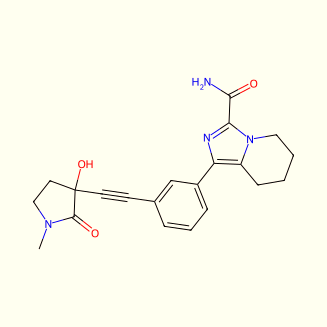 CN1CCC(O)(C#Cc2cccc(-c3nc(C(N)=O)n4c3CCCC4)c2)C1=O